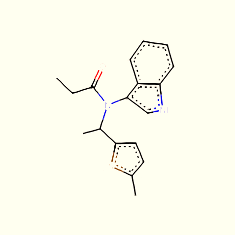 CCC(=O)N(c1c[nH]c2ccccc12)C(C)c1ccc(C)s1